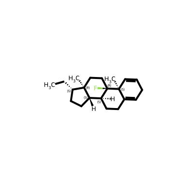 CC[C@H]1CC[C@H]2[C@@H]3CCC4=CCC=C[C@]4(C)[C@@]3(F)CC[C@]12C